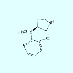 Cl.Clc1cccnc1O[C@H]1CCNC1